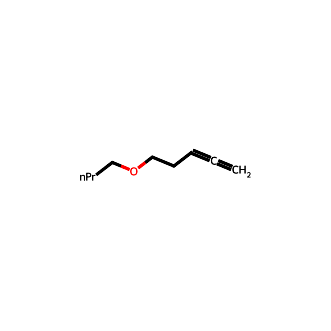 C=C=CCCOCCCC